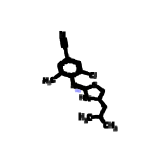 Cc1cc(C#N)cc(Cl)c1/N=C1/NC(CC(C)C)CS1